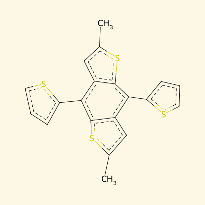 Cc1cc2c(-c3cccs3)c3sc(C)cc3c(-c3cccs3)c2s1